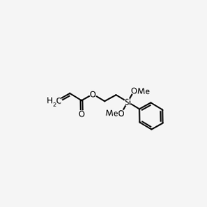 C=CC(=O)OCC[Si](OC)(OC)c1ccccc1